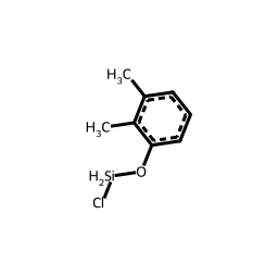 Cc1cccc(O[SiH2]Cl)c1C